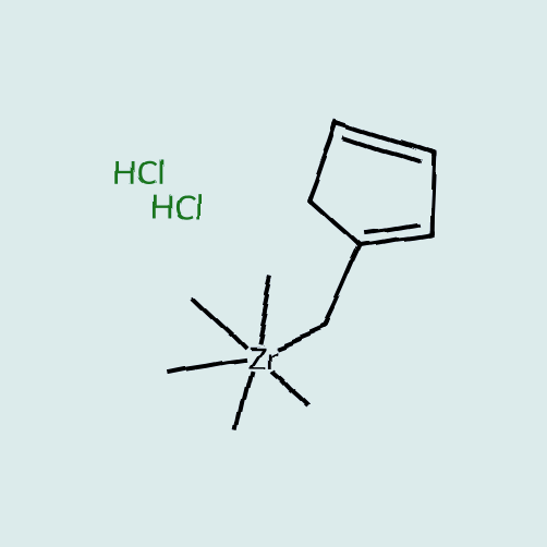 Cl.Cl.[CH3][Zr]([CH3])([CH3])([CH3])([CH3])[CH2]C1=CC=CC1